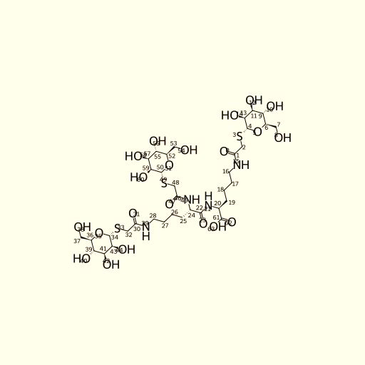 O=C(CS[C@H]1O[C@H](CO)[C@@H](O)[C@H](O)[C@@H]1O)NCCCC[C@H](NC(=O)[C@H](CCCCNC(=O)CS[C@H]1O[C@H](CO)[C@@H](O)[C@H](O)[C@@H]1O)NC(=O)CS[C@H]1O[C@H](CO)[C@@H](O)[C@H](O)[C@@H]1O)C(=O)O